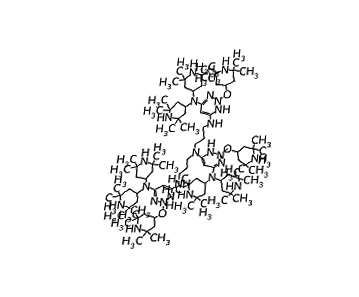 CC1(C)CC(ON2N=C(N(C3CC(C)(C)NC(C)(C)C3)C3CC(C)(C)NC(C)(C)C3)C=C(NCCCN(CCCNC3=CC(N(C4CC(C)(C)NC(C)(C)C4)C4CC(C)(C)NC(C)(C)C4)=NN(OC4CC(C)(C)NC(C)(C)C4)N3)C3=CC(N(C4CC(C)(C)NC(C)(C)C4)C4CC(C)(C)NC(C)(C)C4)=NN(OC4CC(C)(C)NC(C)(C)C4)N3)N2)CC(C)(C)N1